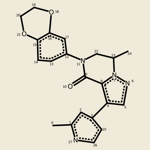 Cc1cc(-c2cnn3c2C(=O)N(c2ccc4c(c2)OCCO4)CC3C)ccn1